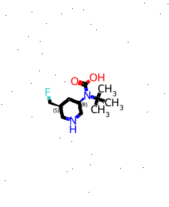 CC(C)(C)N(C(=O)O)[C@H]1CNC[C@@H](CF)C1